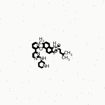 Cc1ccc2c(NS(=O)(=O)CCC(C)C)c(F)ccc2c1Oc1ncccc1-c1ccnc(NC2CCCNC2)n1